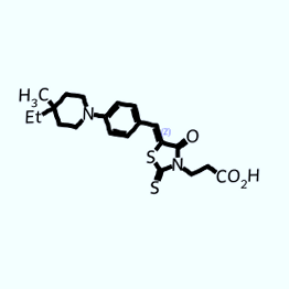 CCC1(C)CCN(c2ccc(/C=C3\SC(=S)N(CCC(=O)O)C3=O)cc2)CC1